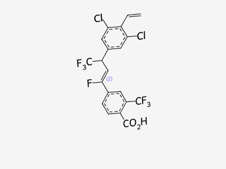 C=Cc1c(Cl)cc(C(/C=C(\F)c2ccc(C(=O)O)c(C(F)(F)F)c2)C(F)(F)F)cc1Cl